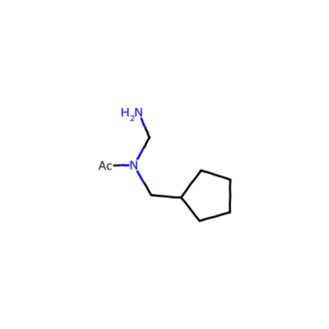 CC(=O)N(CN)CC1CCCC1